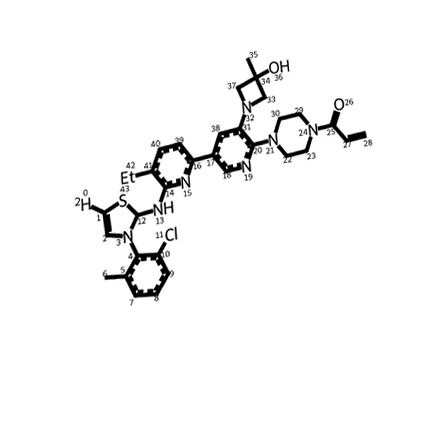 [2H]C1=CN(c2c(C)cccc2Cl)C(Nc2nc(-c3cnc(N4CCN(C(=O)C=C)CC4)c(N4CC(C)(O)C4)c3)ccc2CC)S1